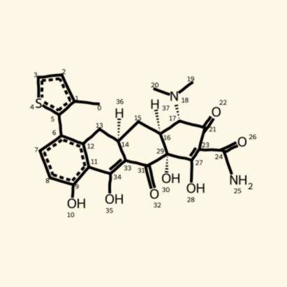 Cc1ccsc1-c1ccc(O)c2c1C[C@H]1C[C@H]3[C@H](N(C)C)C(=O)C(C(N)=O)=C(O)[C@@]3(O)C(=O)C1=C2O